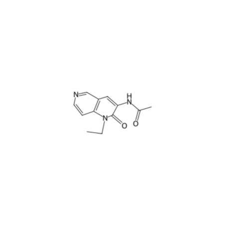 CCn1c(=O)c(NC(C)=O)cc2cnccc21